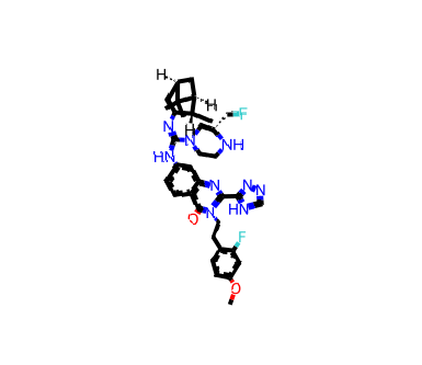 COc1ccc(CCn2c(-c3nnc[nH]3)nc3cc(N/C(=N/C4C[C@H]5C[C@@H]([C@@H]4C)C5(C)C)N4CCN[C@@H](CF)C4)ccc3c2=O)c(F)c1